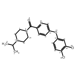 CC(C)N1CCN(C(=O)c2ccc(Oc3ccc(Cl)c(Cl)c3)cn2)CC1